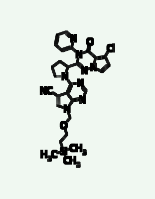 C[Si](C)(C)CCOCn1cc(C#N)c2c(N3CCCC3c3nn4ccc(Cl)c4c(=O)n3-c3ccccn3)ncnc21